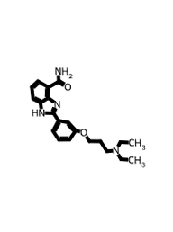 CCN(CC)CCCOc1cccc(-c2nc3c(C(N)=O)cccc3[nH]2)c1